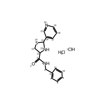 Cl.Cl.O=C(NCc1ccccc1)C1CSC(c2cccnc2)N1